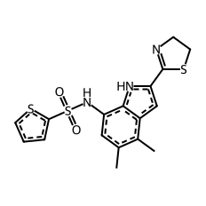 Cc1cc(NS(=O)(=O)c2cccs2)c2[nH]c(C3=NCCS3)cc2c1C